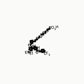 CCN(CC)c1ccc(NC(=O)c2cccc(CCCOCCOCCOCCOCCC(=O)O)c2)c(-c2cccc(C(=O)NCc3cccc(C(F)(F)F)c3)c2)c1